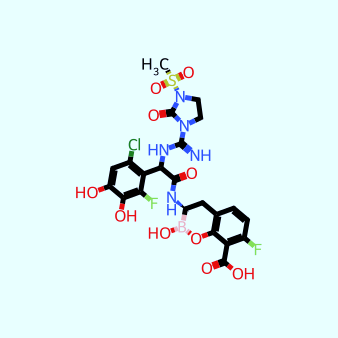 CS(=O)(=O)N1CCN(C(=N)NC(C(=O)N[C@H]2Cc3ccc(F)c(C(=O)O)c3OB2O)c2c(Cl)cc(O)c(O)c2F)C1=O